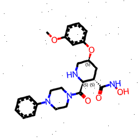 COc1cccc(O[C@@H]2CN[C@H](C(=O)N3CCN(c4ccccc4)CC3)[C@@H](C(=O)NO)C2)c1